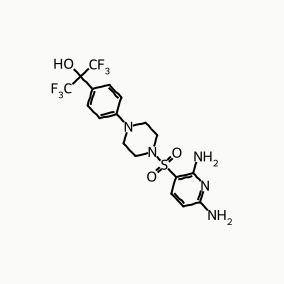 Nc1ccc(S(=O)(=O)N2CCN(c3ccc(C(O)(C(F)(F)F)C(F)(F)F)cc3)CC2)c(N)n1